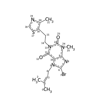 CC(C)=CCn1c(Br)nc2c1c(=O)n(CCc1scnc1C)c(=O)n2C